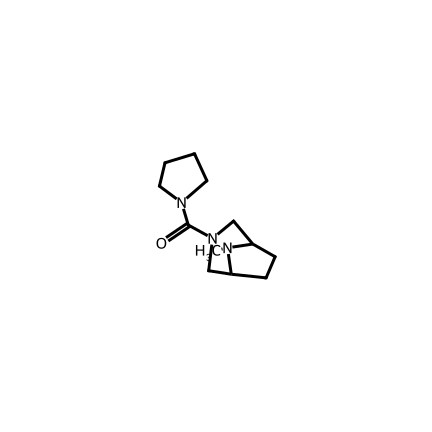 CN1C2CCC1CN(C(=O)N1CCCC1)C2